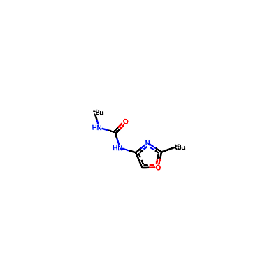 CC(C)(C)NC(=O)Nc1coc(C(C)(C)C)n1